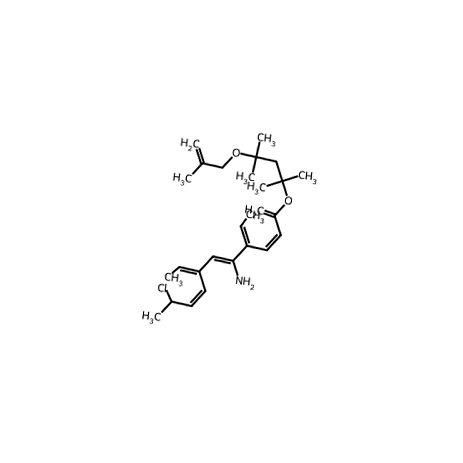 C=C(C)COC(C)(C)CC(C)(C)OC(=C)\C=C/C(=C\C)C(/N)=C/C(/C=C\C(C)Cl)=C/C